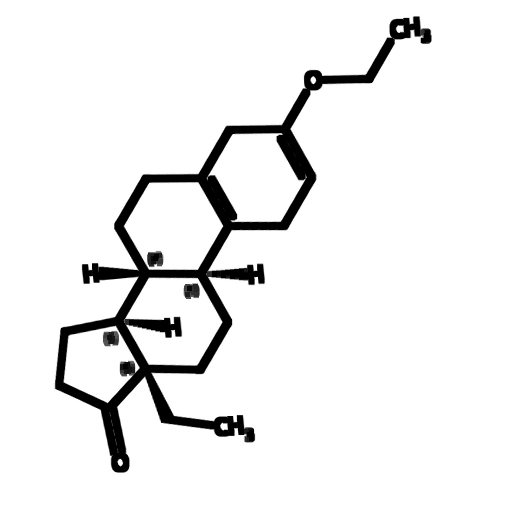 CCOC1=CCC2=C(CC[C@@H]3[C@@H]2CC[C@]2(CC)C(=O)CC[C@@H]32)C1